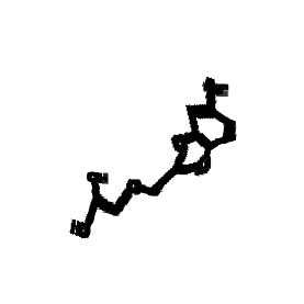 CC(=O)c1ccc2c(c1)OC(COCC(O)O)O2